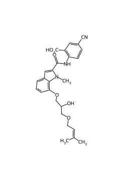 CC(C)=CCOCC(O)COc1cccc2cc(C(=O)Nc3ccc(C#N)cc3C(=O)O)n(C)c12